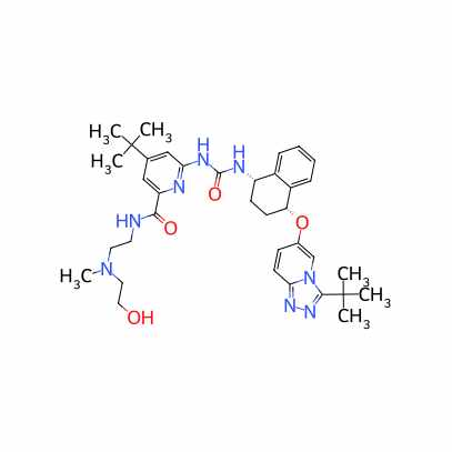 CN(CCO)CCNC(=O)c1cc(C(C)(C)C)cc(NC(=O)N[C@H]2CC[C@@H](Oc3ccc4nnc(C(C)(C)C)n4c3)c3ccccc32)n1